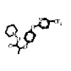 CC(Oc1ccc(Oc2ccc(C(F)(F)F)cn2)cc1)C(=O)ON1CCCCC1